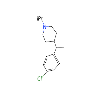 CC(c1ccc(Cl)cc1)C1CCN(C(C)C)CC1